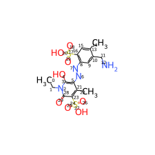 CCn1c(O)c(N=Nc2cc(CN)c(C)cc2S(=O)(=O)O)c(C)c(S(=O)(=O)O)c1=O